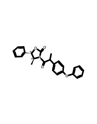 CC(C(=O)N1C(=O)O[C@@H](c2ccccc2)[C@@H]1C)c1ccc(Oc2ccccc2)cc1